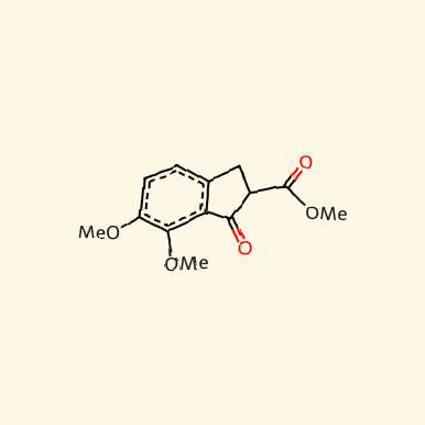 COC(=O)C1Cc2ccc(OC)c(OC)c2C1=O